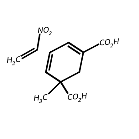 C=C[N+](=O)[O-].CC1(C(=O)O)C=CC=C(C(=O)O)C1